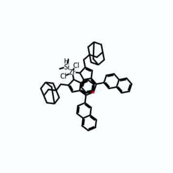 C[SiH](C)[Zr]([Cl])([Cl])([CH]1C(CC23CC4CC(CC(C4)C2)C3)=Cc2c(-c3ccc4ccccc4c3)cccc21)[CH]1C(CC23CC4CC(CC(C4)C2)C3)=Cc2c(-c3ccc4ccccc4c3)cccc21